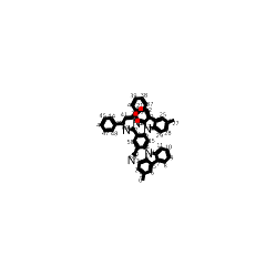 Cc1ccc2c(c1)c1ccccc1n2-c1cc(-n2c3ccccc3c3cc(C)ccc32)c(-c2nc(-c3ccccc3)cc(-c3ccccc3)n2)cc1C#N